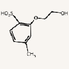 Cc1ccc(S(=O)(=O)O)c(OCCO)c1